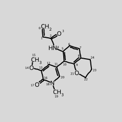 C=CC(=O)Nc1ccc2c(c1-c1cc(OC)c(=O)n(C)c1)OCCC2